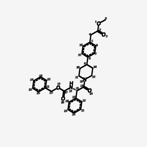 COC(=O)Cc1ccc(C2CCN(C(=O)[C@@H](NC(=O)OCc3ccccc3)c3ccccc3)CC2)cc1